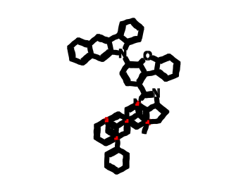 CC1C/C=C(c2ccc(-c3ccccc3)cc2)/N=C(c2ccc(-n3c4ccccc4c4cc5ccccc5cc43)c3oc4ccccc4c23)\N=C/1c1cccc(-c2ccccc2)c1